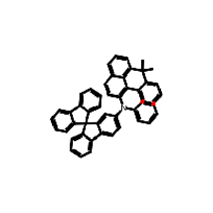 CC1(C)c2ccccc2-c2c(N(c3ccccc3)c3ccc4c(c3)C3(c5ccccc5-c5ccccc53)c3ccccc3-4)ccc3cccc1c23